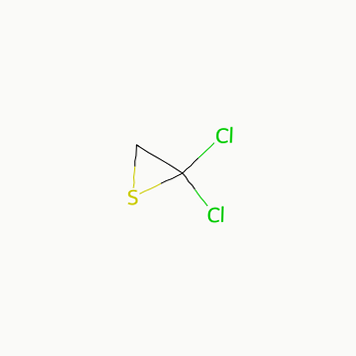 ClC1(Cl)CS1